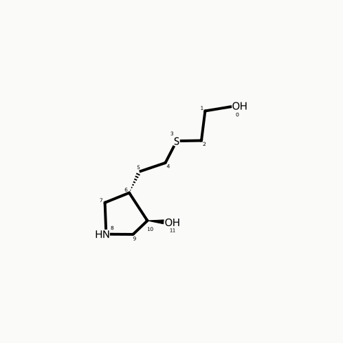 OCCSCC[C@H]1CNC[C@@H]1O